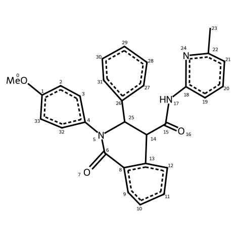 COc1ccc(N2C(=O)c3ccccc3C(C(=O)Nc3cccc(C)n3)C2c2ccccc2)cc1